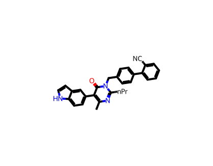 CCCc1nc(C)c(-c2ccc3[nH]ccc3c2)c(=O)n1Cc1ccc(-c2ccccc2C#N)cc1